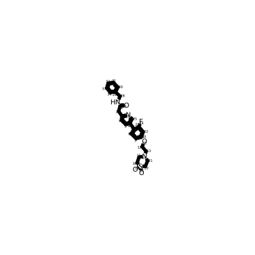 O=C(Cc1ccc(-c2ccc(OCCN3CCS(=O)(=O)CC3)cc2F)cn1)NCc1ccccc1